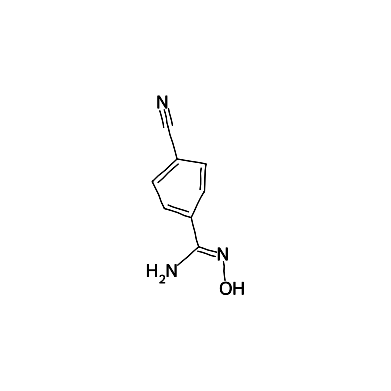 N#Cc1ccc(/C(N)=N/O)cc1